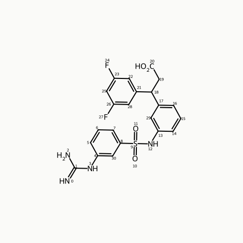 N=C(N)Nc1cccc(S(=O)(=O)Nc2cccc(C(CC(=O)O)c3cc(F)cc(F)c3)c2)c1